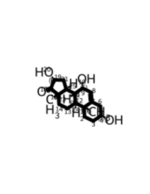 C[C@]12CC[C@H](O)CC1=C[C@@H](O)[C@@H]1[C@@H]2CC[C@]2(C)C(=O)[C@H](O)C[C@@H]12